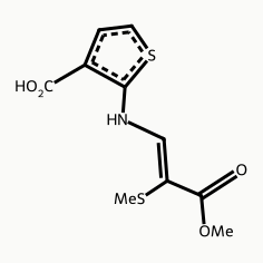 COC(=O)/C(=C/Nc1sccc1C(=O)O)SC